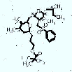 C=C1C(C[C@@H]2O[C@H](C[C@H](C)CC)[C@H](C)[C@H]2CS(=O)(=O)c2ccccc2)O[C@@H](CCCOC(=O)C(C)(C)C)C[C@H]1C